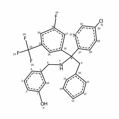 Oc1cccc(CNC(Cc2ccccc2)(c2cc(F)cc(C(F)(F)F)c2)c2ccc(Cl)cn2)c1